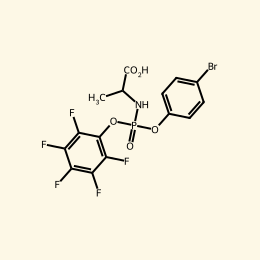 CC(NP(=O)(Oc1ccc(Br)cc1)Oc1c(F)c(F)c(F)c(F)c1F)C(=O)O